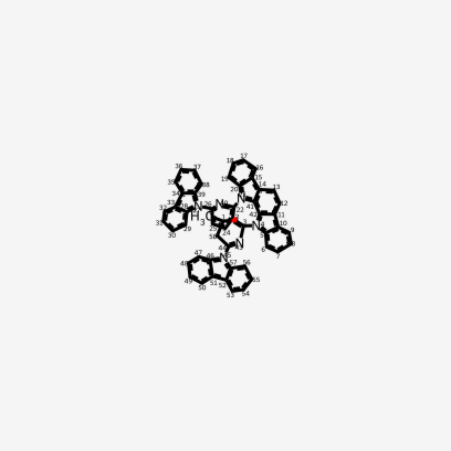 CC1C=C(n2c3ccccc3c3ccc4c5ccccc5n(-c5cccc(-n6c7ccccc7c7ccccc76)n5)c4c32)N=C(n2c3ccccc3c3ccccc32)C1